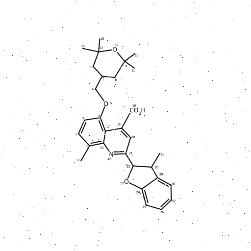 Cc1ccc(OCC2CC(C)(C)OC(C)(C)C2)c2c(C(=O)O)cc(C3Oc4ccccc4C3C)nc12